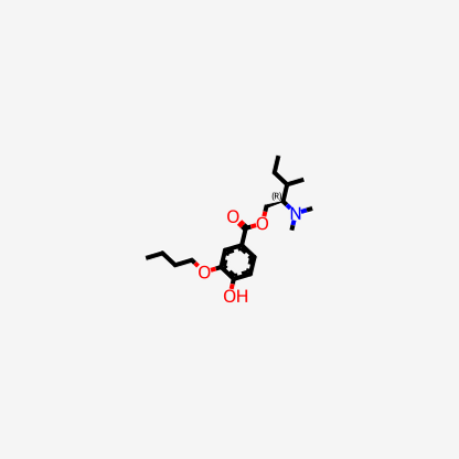 CCCCOc1cc(C(=O)OC[C@@H](C(C)CC)N(C)C)ccc1O